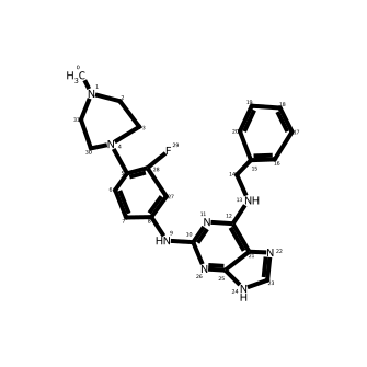 CN1CCN(c2ccc(Nc3nc(NCc4ccccc4)c4nc[nH]c4n3)cc2F)CC1